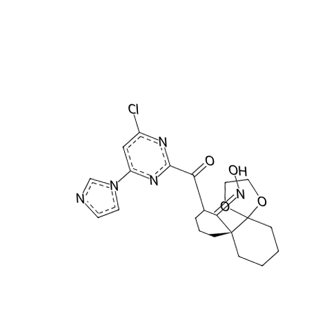 O=C(c1nc(Cl)cc(-n2ccnc2)n1)C1CCC[C@@]2(CCCCC23OCCO3)/C1=N/O